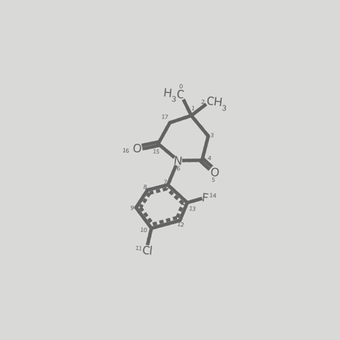 CC1(C)CC(=O)N(c2ccc(Cl)cc2F)C(=O)C1